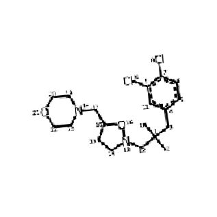 CC(C)(Cc1ccc(Cl)c(Cl)c1)CN1CCC(CN2CCOCC2)O1